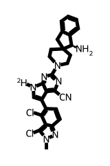 [2H]n1cc(-c2ccc3nn(C)c(Cl)c3c2Cl)c2c(C#N)nc(N3CCC4(CC3)Cc3ccccc3[C@H]4N)nc21